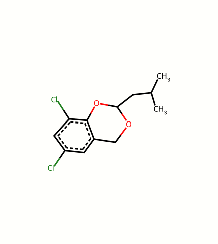 CC(C)CC1OCc2cc(Cl)cc(Cl)c2O1